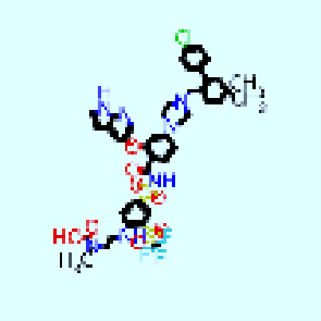 CN(CCNc1ccc(S(=O)(=O)NC(=O)c2ccc(N3CCN(CC4=C(c5ccc(Cl)cc5)CC(C)(C)CC4)CC3)cc2Oc2cnc3[nH]ccc3c2)cc1S(=O)(=O)C(F)(F)F)C(=O)O